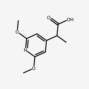 COc1cc(C(C)C(=O)O)cc(OC)n1